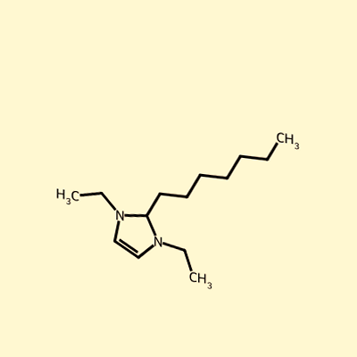 CCCCCCCC1N(CC)C=CN1CC